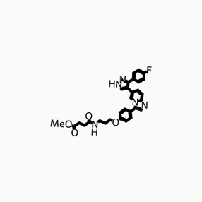 COC(=O)CCC(=O)NCCCOc1ccc(-c2cnc3ccc(-c4c[nH]nc4-c4ccc(F)cc4)cn23)cc1